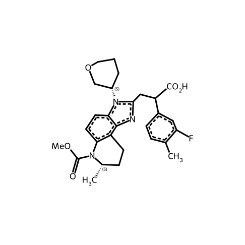 COC(=O)N1c2ccc3c(nc(CC(C(=O)O)c4ccc(C)c(F)c4)n3[C@H]3CCCOC3)c2CC[C@@H]1C